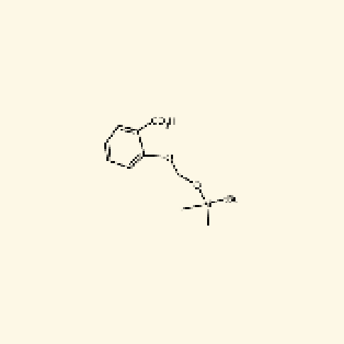 CC(C)(C)[Si](C)(C)OCOc1ccccc1C(=O)O